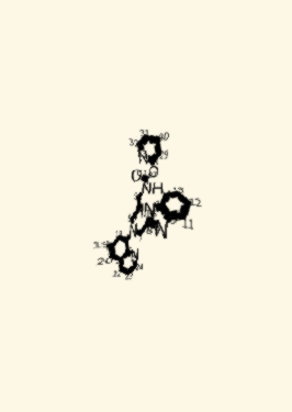 O=C(NCCCN(Cc1nc2ccccc2[nH]1)C1CCCc2cccnc21)Oc1ccccn1